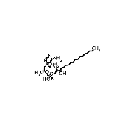 CCCCCCCCCCCCCCC[C@@H](O)[C@@H](N)COP(=O)(O)CO[C@H](C)Cn1cnc2c(N)ncnc21